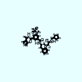 CC(NC(=O)c1cc(C(=O)N[C@H](CN[C@@H](C)C(=O)NCC2CCCC2)Cc2ccccc2)cc(N(C)S(C)(=O)=O)c1)c1ccsc1